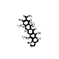 CN1CCC2CNc3c(O)c4c(c(OC(F)(F)F)c3C21)C[C@H]1C[C@H]2[C@H](N)C(O)=C(C(N)=O)C(=O)[C@@]2(O)C(O)=C1C4=O